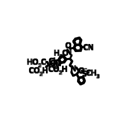 CN(C[C@@H](CCN1CCC(c2ccccc2[S@+](C)[O-])CC1)c1ccc(Cl)c(Cl)c1)C(=O)c1ccc(C#N)c2ccccc12.O=C(O)CC(O)(CC(=O)O)C(=O)O